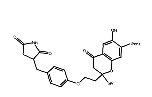 CCCCCc1cc2c(cc1O)C(=O)CC(CCC)(CCOc1ccc(CC3SC(=O)NC3=O)cc1)O2